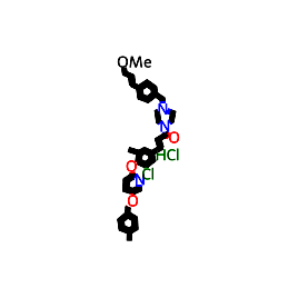 COC/C=C/c1ccc(CN2CCN(C(=O)/C=C/c3cc(C)c(Oc4ccc(OCc5ccc(C)cc5)cn4)c(Cl)c3)CC2)cc1.Cl